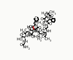 CC(C)C[C@H](NC(=O)CNC(=O)C(Cc1ccccc1)N(C)C(=O)C(C)NC(=O)[C@H](C)N)C(=O)N[C@@H](C)C(=O)N[C@H](C(=O)NC(Cc1ccccc1)C(=O)N[C@@H](CC(=O)O)C(=O)N(C)[C@@H](C)C(=O)N[C@@H](CNCC(N)=O)C(=O)O)C(C)C